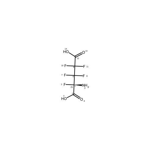 N[C@](F)(C(=O)O)C(F)(F)C(F)(F)C(=O)O